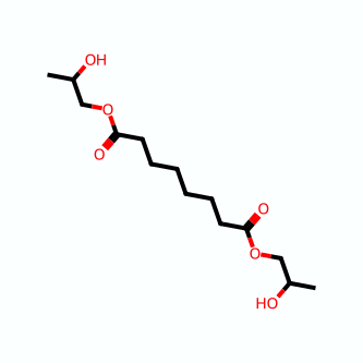 CC(O)COC(=O)CCCCCCC(=O)OCC(C)O